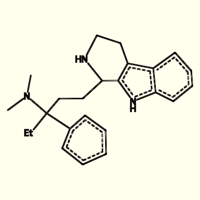 CCC(CCC1NCCc2c1[nH]c1ccccc21)(c1ccccc1)N(C)C